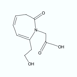 O=C(O)CN1C(=O)CC=CC=C1CCO